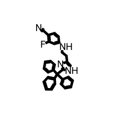 N#Cc1ccc(NCCc2c[nH]c(C(c3ccccc3)(c3ccccc3)c3ccccc3)n2)cc1F